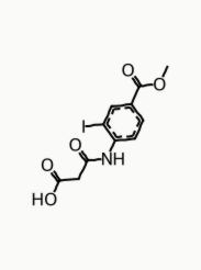 COC(=O)c1ccc(NC(=O)CC(=O)O)c(I)c1